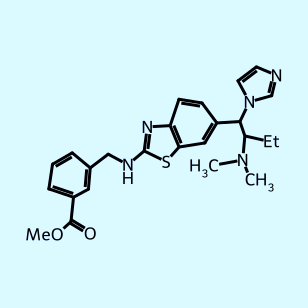 CCC(C(c1ccc2nc(NCc3cccc(C(=O)OC)c3)sc2c1)n1ccnc1)N(C)C